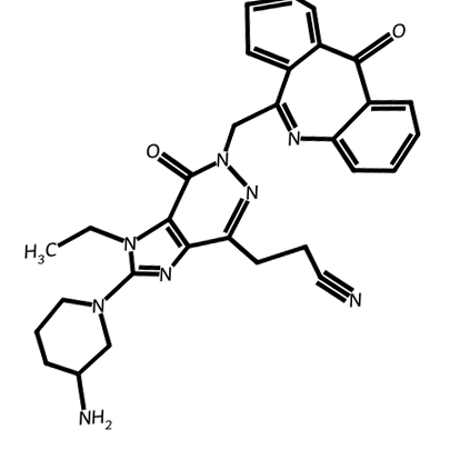 CCn1c(N2CCCC(N)C2)nc2c(CCC#N)nn(Cc3nc4ccccc4c(=O)c4ccccc34)c(=O)c21